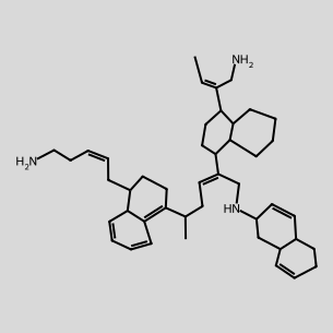 C/C=C(\CN)C1CCC(/C(=C/CC(C)C2=C3C=CC=CC3C(C/C=C\CCN)CC2)CNC2C=CC3CCC=CC3C2)C2CCCCC12